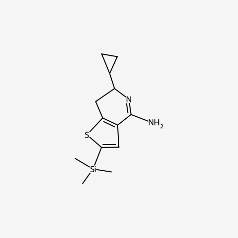 C[Si](C)(C)c1cc2c(s1)CC(C1CC1)N=C2N